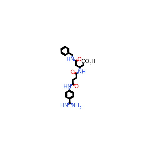 N=C(N)c1ccc(NC(=O)CCC(=O)NC(CC(=O)O)CC(=O)NCc2ccccc2)cc1